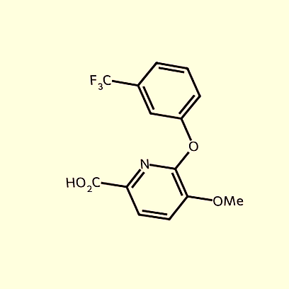 COc1ccc(C(=O)O)nc1Oc1cccc(C(F)(F)F)c1